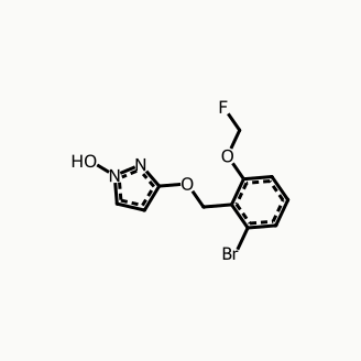 On1ccc(OCc2c(Br)cccc2OCF)n1